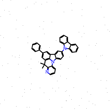 CC1(C)c2ncccc2-n2c3ccc(-n4c5ccccc5c5ccccc54)cc3c3cc(-c4ccccc4)cc1c32